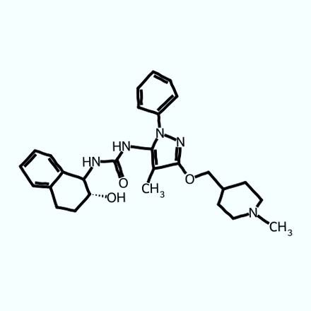 Cc1c(OCC2CCN(C)CC2)nn(-c2ccccc2)c1NC(=O)NC1c2ccccc2CC[C@H]1O